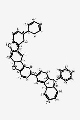 C1=CCC(C2C=Cc3oc4c(c3C2)=CC2C3=C(C=CC(C5=CCC6C(=C5)C5C=CC=CC5N6c5ccccc5)C3)OC2C=4)C=C1